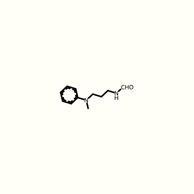 CN(CCCNC=O)c1ccccc1